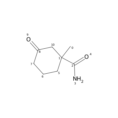 CC1(C(N)=O)CCCC(=O)C1